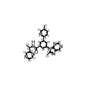 Cc1ccc(-c2cc(C(=O)NC(C)c3cnccn3)cc(-n3c(C)nc4cncnc43)c2)nc1